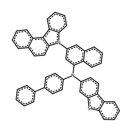 c1ccc(-c2ccc(N(c3ccc4c(c3)sc3ccccc34)c3cc(-n4c5ccccc5c5c6ccccc6ccc54)cc4ccccc34)cc2)cc1